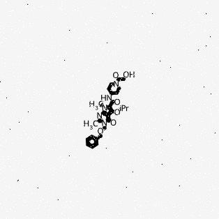 Cc1nc2c(c(OC(C)C)c(C(=O)NC3CCN(C(=O)CO)CC3)n2C)c(=O)n1COCc1ccccc1